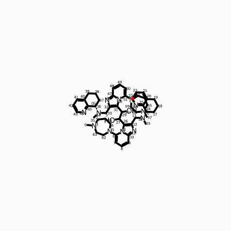 CN1CCCN(c2cccc3nc(CN(C)[C@H]4CCCc5cccnc54)c(C(O)C(O)c4c(CN(C)[C@H]5CCCc6cccnc65)nc5cccc(N6CCCN(C)CC6)n45)n23)CC1